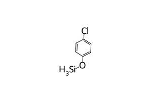 [SiH3]Oc1ccc(Cl)cc1